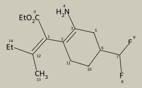 CCOC(=O)/C(C1=C(N)CC(C(F)F)CC1)=C(/C)CC